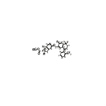 CC(C)(C)OC(=O)[C@H]1[C@@H]2Cc3cc(OCc4cc5c(cc4F)C(C)(C)CCN5c4ccccc4C(F)(F)F)ncc3[C@@H]21